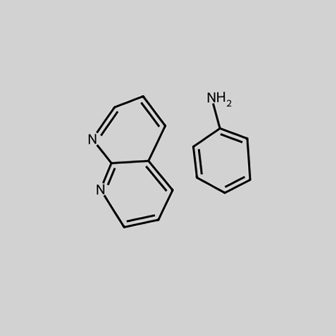 Nc1ccccc1.c1cnc2ncccc2c1